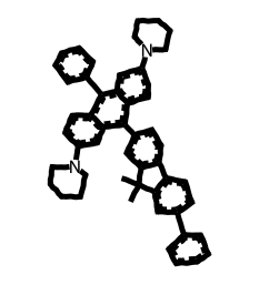 CC1(C)c2cc(-c3ccccc3)ccc2-c2ccc(-c3c4ccc(N5CCCCC5)cc4c(-c4ccccc4)c4ccc(N5CCCCC5)cc34)cc21